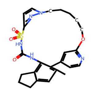 Cc1cc2c(c3c1-c1ccnc(c1)OCCCCCn1ccc(n1)S(=O)(=O)NC(=O)N3)CCC2